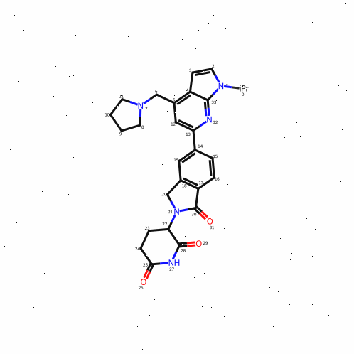 CC(C)n1ccc2c(CN3CCCC3)cc(-c3ccc4c(c3)CN(C3CCC(=O)NC3=O)C4=O)nc21